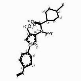 C=Cc1ccc(-n2cc(C(=O)O)c(N(C(=O)C3CCC(C)CC3)C(C)C)n2)cc1